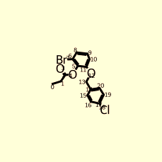 CCC(=O)Oc1c(Br)cccc1OCc1ccc(Cl)cc1